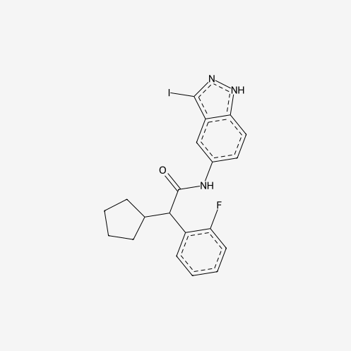 O=C(Nc1ccc2[nH]nc(I)c2c1)C(c1ccccc1F)C1CCCC1